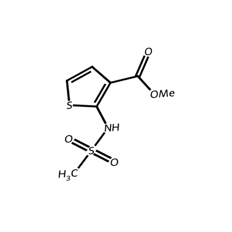 COC(=O)c1ccsc1NS(C)(=O)=O